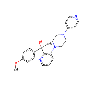 COc1ccc(C(C)(O)c2ncccc2N2CCN(c3ccncc3)CC2)cc1